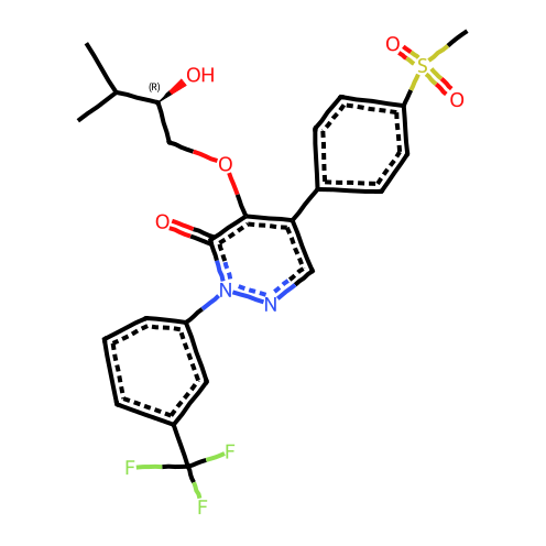 CC(C)[C@@H](O)COc1c(-c2ccc(S(C)(=O)=O)cc2)cnn(-c2cccc(C(F)(F)F)c2)c1=O